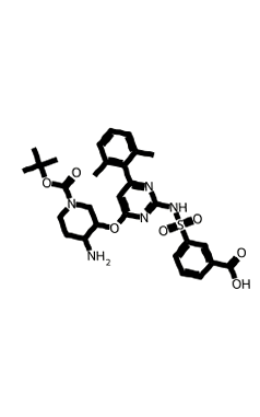 Cc1cccc(C)c1-c1cc(OC2CN(C(=O)OC(C)(C)C)CCC2N)nc(NS(=O)(=O)c2cccc(C(=O)O)c2)n1